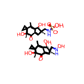 CC1=C2C(=C[C@@](C)(CNO)[C@@H]2O)C(=O)[C@](C)(O)C12CC2.CC1=C2C(=C[C@@](C)(CNS(=O)(=O)O)[C@@H]2O)C(=O)[C@](C)(O)C12CC2